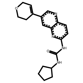 O=C(Nc1ccc2ncc(C3=CCOCC3)cc2n1)NC1CCCC1